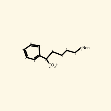 CCCCCCCCCCCCCC(C(=O)O)c1ccccc1